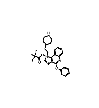 O=C(O[N+]1(CCC2CCNCC2)C=Nc2c(Oc3ccccc3)nc3ccccc3c21)C(F)(F)F